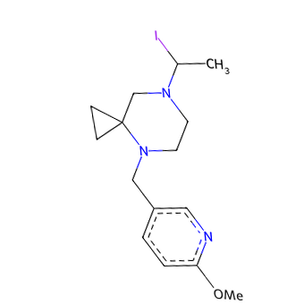 COc1ccc(CN2CCN(C(C)I)CC23CC3)cn1